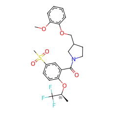 COc1ccccc1OCC1CCN(C(=O)c2cc(S(C)(=O)=O)ccc2O[C@@H](C)C(F)(F)F)C1